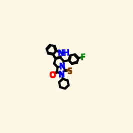 O=C1C2Cc3c([nH]c4ccccc34)C(c3ccc(F)cc3)N2C(=S)N1C1CCCCC1